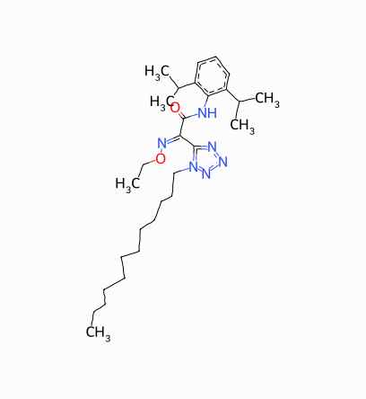 CCCCCCCCCCCCn1nnnc1/C(=N\OCC)C(=O)Nc1c(C(C)C)cccc1C(C)C